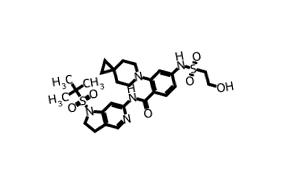 CC(C)(C)S(=O)(=O)N1CCc2cnc(NC(=O)c3ccc(NS(=O)(=O)CCO)cc3N3CCC4(CC3)CC4)cc21